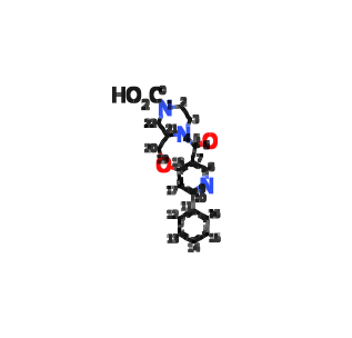 O=C(O)N1CCN2C(=O)c3cnc(-c4ccccc4)cc3OCC2C1